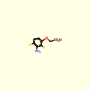 Nc1c(F)ccc(OCC(=O)O)c1F